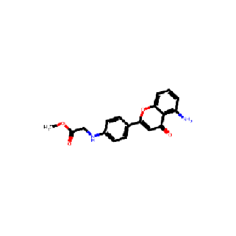 COC(=O)CNc1ccc(-c2cc(=O)c3c(N)cccc3o2)cc1